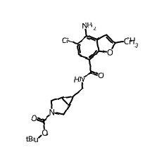 Cc1cc2c(N)c(Cl)cc(C(=O)NCC3C4CN(C(=O)OC(C)(C)C)CC34)c2o1